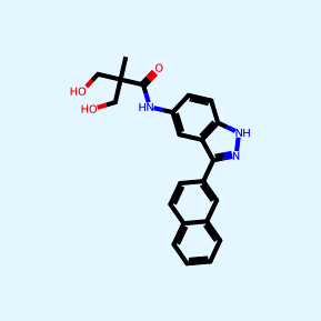 CC(CO)(CO)C(=O)Nc1ccc2[nH]nc(-c3ccc4ccccc4c3)c2c1